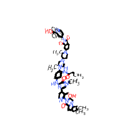 C=CC(=O)Nc1cc(Nc2nc(-c3ccnc(N4CCn5c(cc6c5CC(C)(C)C6)C4=O)c3CO)cn(C)c2=O)ccc1N1CCN(C2CCN(c3ccc4c(c3)C(=O)N(c3ccnc(C(C)(C)O)c3)C4=O)[C@@H](C)C2)C[C@@H]1C